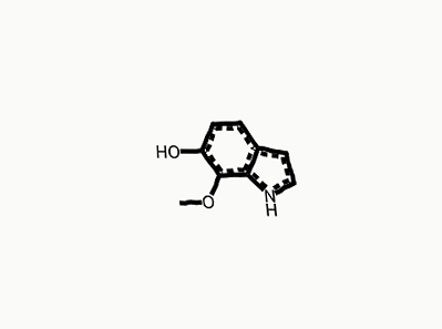 COc1c(O)ccc2cc[nH]c12